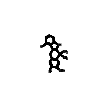 COc1cc2c(cc1Br)Cc1c([nH]c3cccc(Br)c13)C2(C)C